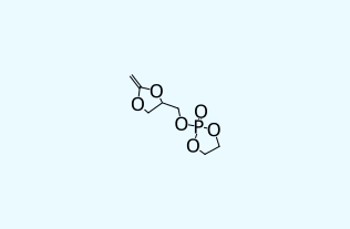 C=C1OCC(COP2(=O)OCCO2)O1